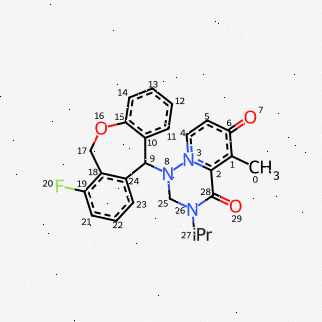 Cc1c2n(ccc1=O)N(C1c3ccccc3OCc3c(F)cccc31)CN(C(C)C)C2=O